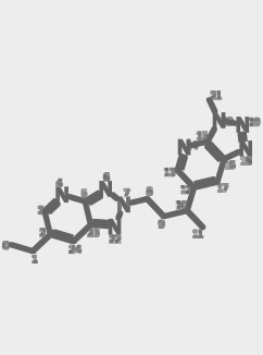 CCc1cnc2nn(CCC(C)c3cnc4c(c3)nnn4C)nc2c1